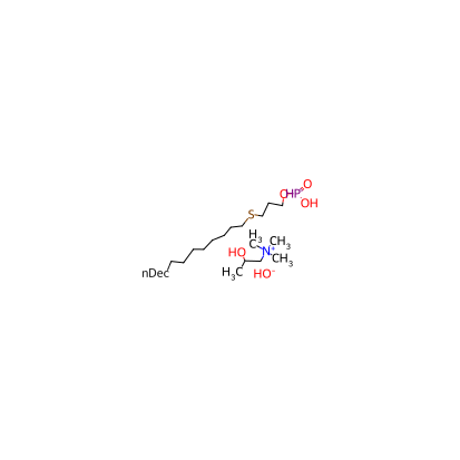 CC(O)C[N+](C)(C)C.CCCCCCCCCCCCCCCCCCSCCCO[PH](=O)O.[OH-]